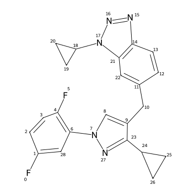 Fc1ccc(F)c(-n2cc(Cc3ccc4nnn(C5CC5)c4c3)c(C3CC3)n2)c1